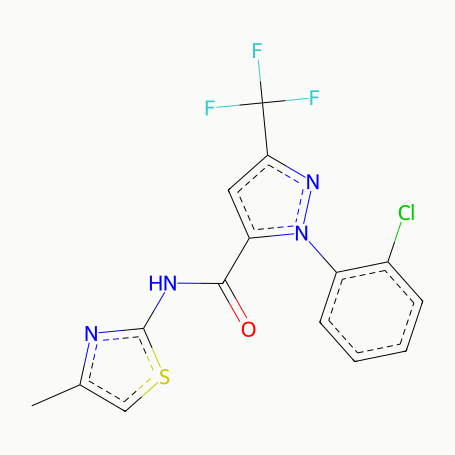 Cc1csc(NC(=O)c2cc(C(F)(F)F)nn2-c2ccccc2Cl)n1